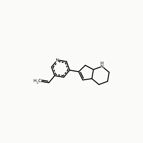 C=Cc1cncc(C2=CC3CCCNC3C2)c1